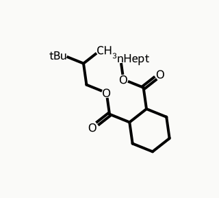 CCCCCCCOC(=O)C1CCCCC1C(=O)OCC(C)C(C)(C)C